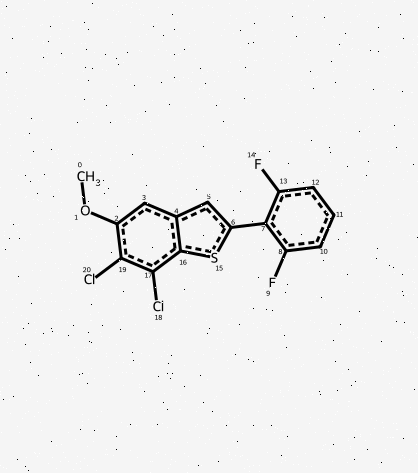 COc1cc2cc(-c3c(F)cccc3F)sc2c(Cl)c1Cl